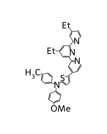 CCc1ccnc(-c2cc(CC)cc(-c3cc(-c4ccc(N(c5ccc(C)cc5)c5ccc(OC)cc5)s4)ccn3)n2)c1